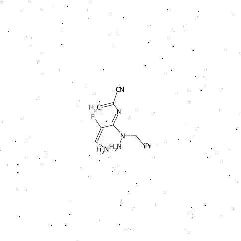 C=C(C#N)/N=C(\C(F)=C/N)N(N)CC(C)C